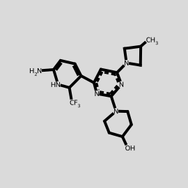 CC1CN(c2cc(C3=CC=C(N)NC3C(F)(F)F)nc(N3CCC(O)CC3)n2)C1